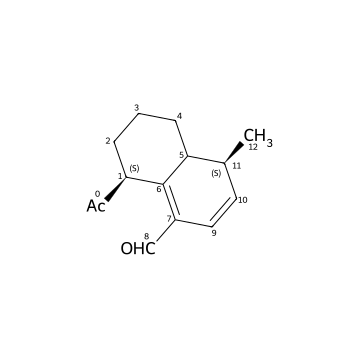 CC(=O)[C@H]1CCCC2C1=C(C=O)C=C[C@@H]2C